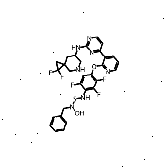 ON(Cc1ccccc1)SNc1c(F)cc(Oc2ncccc2-c2ccnc(NC3CNCC4(C3)CC4(F)F)n2)c(F)c1F